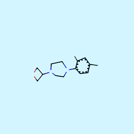 CC(C)c1ccc(N2CCN(C3COC3)CC2)c(C(F)(F)F)c1